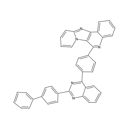 c1ccc(-c2ccc(-c3nc(-c4ccc(-c5nc6ccccc6c6nc7ccccn7c56)cc4)c4ccccc4n3)cc2)cc1